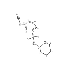 CC(C)(OC1CCCCO1)c1cccc(CBr)c1